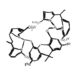 CCOC(=O)c1ccc2n1P(Oc1cc(C(C)(C)C)cc3c1Oc1c(OP4n5c(C(=O)OCC)ccc5C(C)c5ccc(C(=O)OCC)n54)cc(C(C)(C)C)cc1C3(C)C)n1c(C(=O)OCC)ccc1C2C